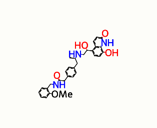 COc1ccccc1CNC(=O)Cc1ccc(C[C@@H](C)NC[C@H](O)c2ccc(O)c3[nH]c(=O)ccc23)cc1